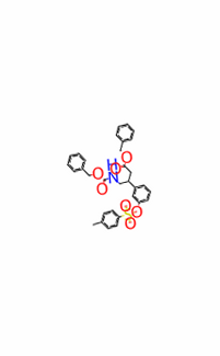 Cc1ccc(S(=O)(=O)Oc2cccc(C(CNC(=O)OCc3ccccc3)CC(=O)OCc3ccccc3)c2)cc1